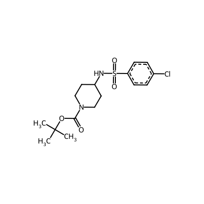 CC(C)(C)OC(=O)N1CCC(NS(=O)(=O)c2ccc(Cl)cc2)CC1